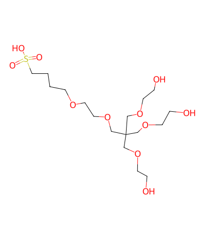 O=S(=O)(O)CCCCOCCOCC(COCCO)(COCCO)COCCO